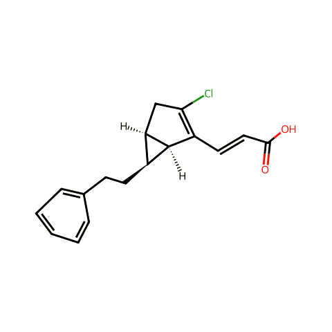 O=C(O)/C=C/C1=C(Cl)C[C@@H]2[C@H](CCc3ccccc3)[C@H]12